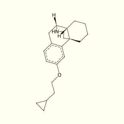 c1cc2c(cc1OCCC1CC1)[C@@]13CCCC[C@H]1[C@@H](C2)NCC3